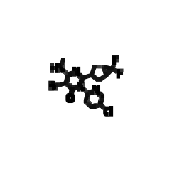 CNc1nc(C2CC3C(C2)C3(F)F)n(-c2ccc(Cl)cn2)c(=O)c1Br